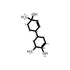 CC1CC(C2C=CC(C)(O)CC2)CC=C1O